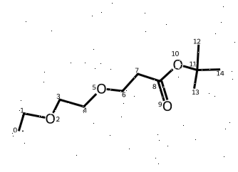 [CH2]COCCOCCC(=O)OC(C)(C)C